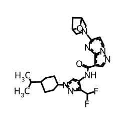 CC(C)C1CCC(n2cc(NC(=O)c3cnn4ccc(N5CC6CC(C5)O6)nc34)c(C(F)F)n2)CC1